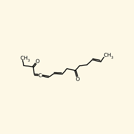 CC=CCCC(=O)CC=CC=C=CC(=O)CC